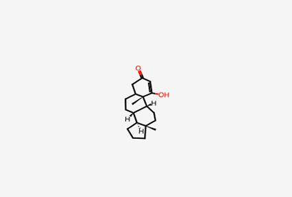 C[C@@]12CCC[C@H]1[C@@H]1CCC3CC(=O)C=C(O)[C@]3(C)[C@@H]1CC2